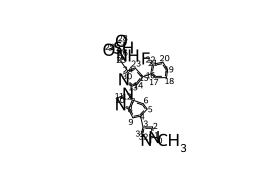 Cn1cc(-c2ccc3c(c2)ncn3-c2cc(-c3ccccc3F)cc(CN[SH](=O)=O)n2)cn1